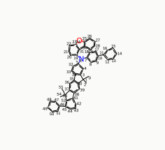 CC1(C)c2cc(N(c3ccc(-c4ccccc4)cc3)c3cccc4oc5ccccc5c34)ccc2-c2cc3c(cc21)-c1cccc(-c2ccccc2)c1C3(C)C